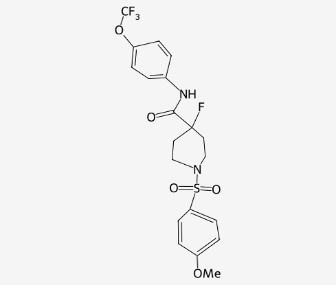 COc1ccc(S(=O)(=O)N2CCC(F)(C(=O)Nc3ccc(OC(F)(F)F)cc3)CC2)cc1